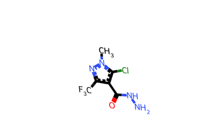 Cn1nc(C(F)(F)F)c(C(=O)NN)c1Cl